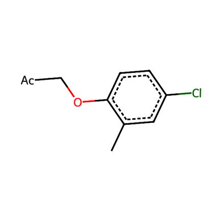 CC(=O)COc1ccc(Cl)cc1C